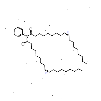 CCCCCCCC/C=C\CCCCCCCC(=O)N(C(=O)CCCCCCC/C=C\CCCCCCCC)c1ccccc1